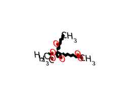 C=CC(OC)O[C@H]1CC(=O)[C@@H](CCCCCCC(=O)OC)[C@@H]1C=CC(=O)CCCCC